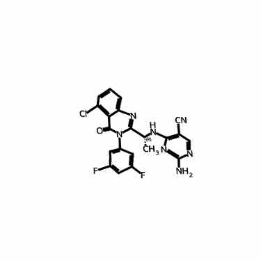 C[C@@H](Nc1nc(N)ncc1C#N)c1nc2cccc(Cl)c2c(=O)n1-c1cc(F)cc(F)c1